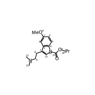 COc1ccc2c(c1)c(CCN(C)C)cn2C(=O)OC(C)C